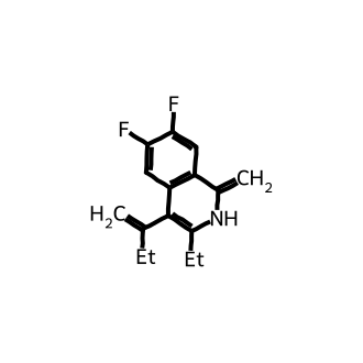 C=C(CC)C1=C(CC)NC(=C)c2cc(F)c(F)cc21